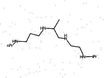 CCCNCCCNC(C)CNCCNC(C)C